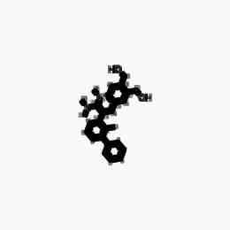 Cc1c(-c2ccccc2)cccc1-c1cc2cc(CO)c(CO)cc2[n+](C)c1N(C)C